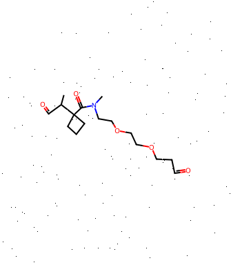 CC(C=O)C1(C(=O)N(C)CCOCCOCCC=O)CCC1